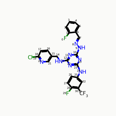 Fc1ccccc1/C=N/Nc1nc(NCc2ccc(Cl)nc2)nc(Nc2ccc(F)c(C(F)(F)F)c2)n1